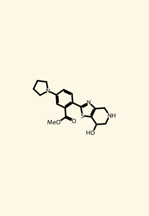 COC(=O)c1cc(N2CCCC2)ccc1-c1nc2c(s1)C(O)CNC2